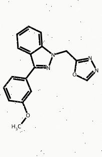 COc1cccc(-c2nn(Cc3nnco3)c3ccccc23)c1